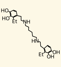 CCc1c(CCNCCCCCCNCCc2ccc(O)c(O)c2CC)ccc(O)c1O